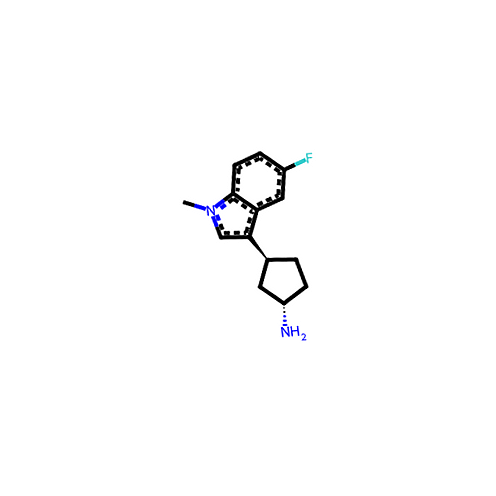 Cn1cc([C@H]2CC[C@H](N)C2)c2cc(F)ccc21